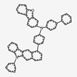 c1ccc(-c2ccc(N(c3ccc(-c4cccc5cc6c(cc45)c4ccccc4n6-c4ccccc4)cc3)c3ccc4c(c3)oc3ccccc34)cc2)cc1